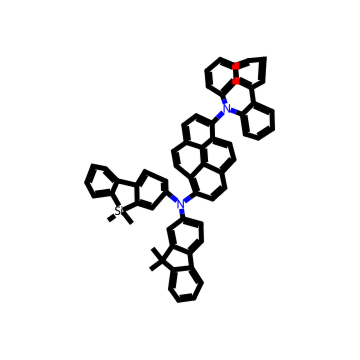 CC1(C)c2ccccc2-c2ccc(N(c3ccc4c(c3)[Si](C)(C)c3ccccc3-4)c3ccc4ccc5c(N(c6ccccc6)c6ccccc6-c6ccccc6)ccc6ccc3c4c65)cc21